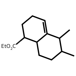 CCOC(=O)C1CCC=C2C(C)C(C)CCC21